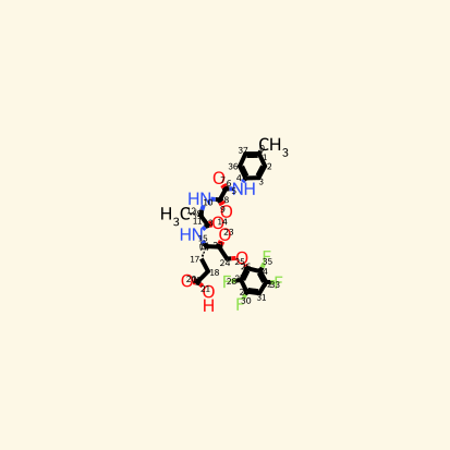 Cc1ccc(NC(=O)C(=O)N[C@@H](C)C(=O)N[C@@H](CCC(=O)O)C(=O)COc2c(F)c(F)cc(F)c2F)cc1